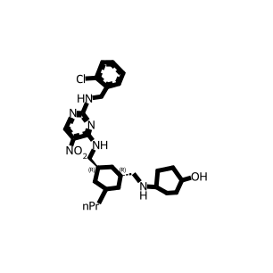 CCCC1C[C@@H](CNc2nc(NCc3ccccc3Cl)ncc2[N+](=O)[O-])C[C@H](CNC2CCC(O)CC2)C1